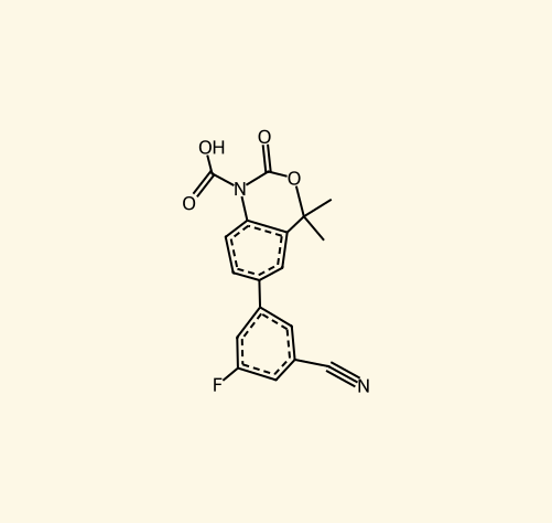 CC1(C)OC(=O)N(C(=O)O)c2ccc(-c3cc(F)cc(C#N)c3)cc21